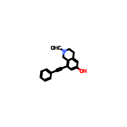 O=CN1CCc2cc(O)cc(C#Cc3ccccc3)c2C1